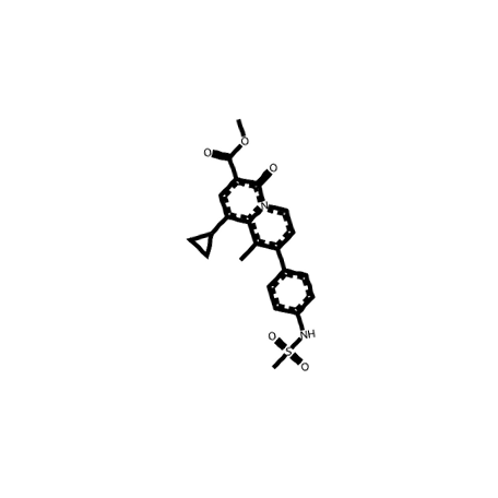 COC(=O)c1cc(C2CC2)c2c(C)c(-c3ccc(NS(C)(=O)=O)cc3)ccn2c1=O